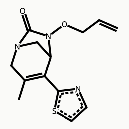 C=CCON1C(=O)N2CC(C)=C(c3nccs3)C1C2